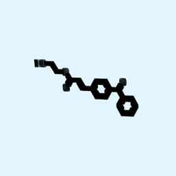 O=C(/C=C/c1ccc(C(=O)c2ccccc2)cc1)OCCO